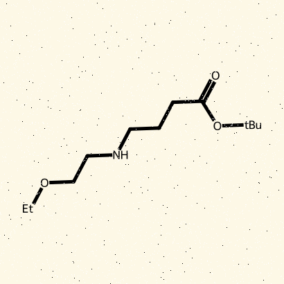 CCOCCNCCCC(=O)OC(C)(C)C